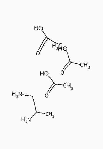 CC(=O)O.CC(=O)O.CC(=O)O.CC(N)CN